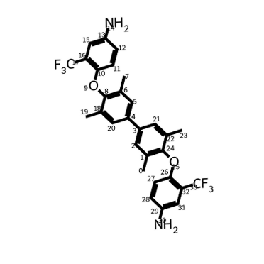 Cc1cc(-c2cc(C)c(Oc3ccc(N)cc3C(F)(F)F)c(C)c2)cc(C)c1Oc1ccc(N)cc1C(F)(F)F